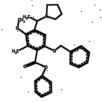 COc1c(C(C)N2CCCC2)cc(OCc2ccccc2)c(C(=O)Oc2ccccc2)c1C